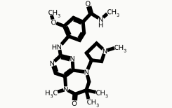 CNC(=O)c1ccc(Nc2ncc3c(n2)N(C2CCN(C)C2)CC(C)(C)C(=O)N3C)c(OC)c1